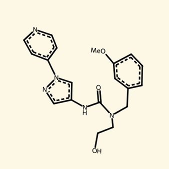 COc1cccc(CN(CCO)C(=O)Nc2cnn(-c3ccncc3)c2)c1